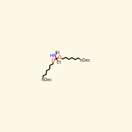 CCCCCCCCCCCCCCCCOC(CC)(NCC)OCCCCCCCCCCCCCCCC